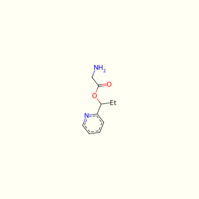 CCC(OC(=O)CN)c1ccccn1